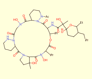 CCC1OC(O)(C(C)(O)C(=O)NC2C(=O)N3C(CCCN3C(C)=O)C(=O)N(O)CC(=O)N3NCCCC3C(=O)N3CCC(C)(O)C3C(=O)N(O)C(C(C)C)C(=O)OC2C(C)C)CCC1CC(C)C